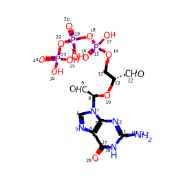 Nc1nc2c(ncn2[C@@H](C=O)O[C@@H](C=O)COP(=O)(O)OP(=O)(O)OP(=O)(O)O)c(=O)[nH]1